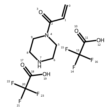 C=CC(=O)N1CCNCC1.O=C(O)C(F)(F)F.O=C(O)C(F)(F)F